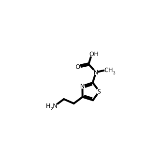 CN(C(=O)O)c1nc(CCN)cs1